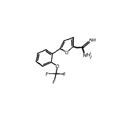 N=C(N)c1ccc(-c2ccccc2OC(F)(F)F)o1